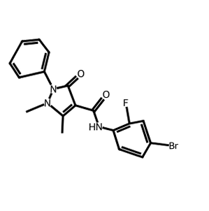 Cc1c(C(=O)Nc2ccc(Br)cc2F)c(=O)n(-c2ccccc2)n1C